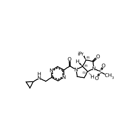 CC(C)[C@H]1C(=O)N(S(C)(=O)=O)[C@H]2CCN(C(=O)c3cnc(CNC4CC4)cn3)[C@H]12